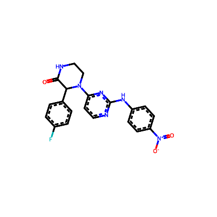 O=C1NCCN(c2ccnc(Nc3ccc([N+](=O)[O-])cc3)n2)C1c1ccc(F)cc1